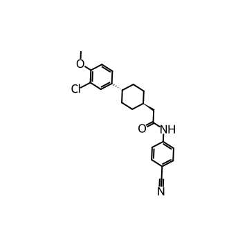 COc1ccc([C@H]2CC[C@H](CC(=O)Nc3ccc(C#N)cc3)CC2)cc1Cl